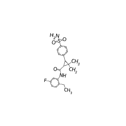 CCc1ccc(F)cc1NC(=O)C1C(c2ccc(S(N)(=O)=O)cc2)C1(C)C